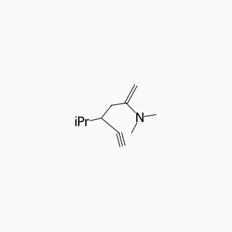 C#CC(CC(=C)N(C)C)C(C)C